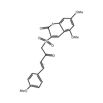 COc1ccc(/C=C/C(=O)CS(=O)(=O)c2cc3c(OC)cc(OC)cc3sc2=O)cc1